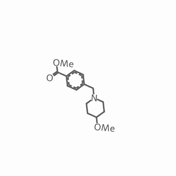 COC(=O)c1ccc(CN2CCC(OC)CC2)cc1